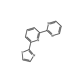 c1cnc(-c2cccc(-c3nccs3)n2)nc1